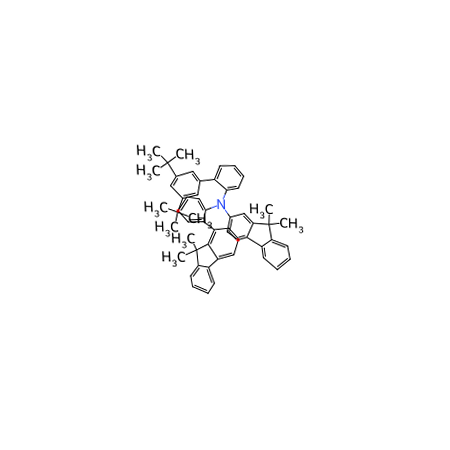 CC(C)(C)c1cc(-c2ccccc2N(c2ccc3c(c2)C(C)(C)c2ccccc2-3)c2ccccc2-c2cccc3c2C(C)(C)c2ccccc2-3)cc(C(C)(C)C)c1